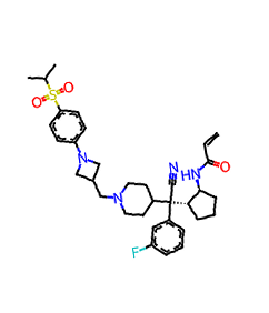 C=CC(=O)N[C@H]1CCC[C@@H]1C(C#N)(c1cccc(F)c1)C1CCN(CC2CN(c3ccc(S(=O)(=O)C(C)C)cc3)C2)CC1